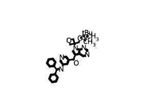 CC(C)(C)[Si](C)(C)OCC1(n2cc(C(=O)c3cncc(N=C(c4ccccc4)c4ccccc4)c3)c3cncnc32)COC1